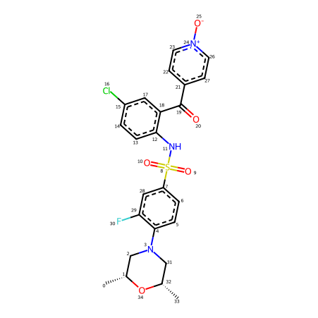 C[C@@H]1CN(c2ccc(S(=O)(=O)Nc3ccc(Cl)cc3C(=O)c3cc[n+]([O-])cc3)cc2F)C[C@H](C)O1